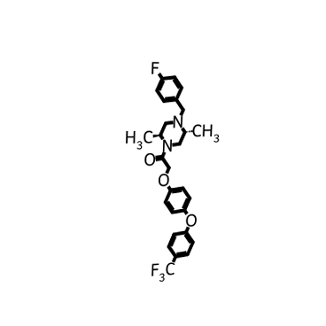 C[C@@H]1CN(C(=O)COc2ccc(Oc3ccc(C(F)(F)F)cc3)cc2)[C@@H](C)CN1Cc1ccc(F)cc1